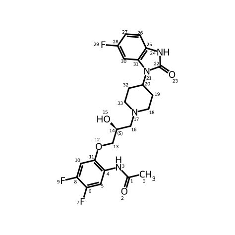 CC(=O)Nc1cc(F)c(F)cc1OC[C@@H](O)CN1CCC(n2c(=O)[nH]c3ccc(F)cc32)CC1